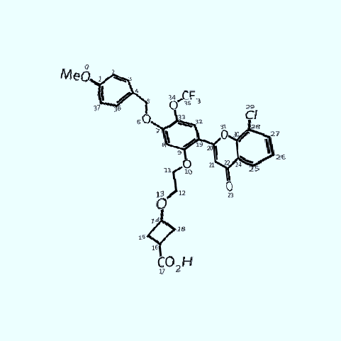 COc1ccc(COc2cc(OCCOC3CC(C(=O)O)C3)c(-c3cc(=O)c4cccc(Cl)c4o3)cc2OC(F)(F)F)cc1